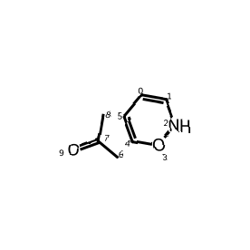 C1=CNOC=C1.CC(C)=O